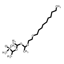 CCCCCCCCCCOCCOC(C)OC(C)OC(C)[N+](C)(C)[O-]